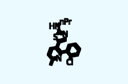 CCCNc1ncc(-c2ccc(C)nc2-c2ccccc2Cl)s1